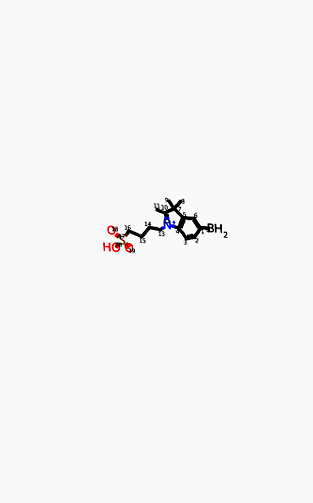 Bc1ccc2c(c1)C(C)(C)C(C)=[N+]2CCCCS(=O)(=O)O